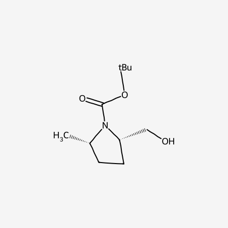 C[C@H]1CC[C@@H](CO)N1C(=O)OC(C)(C)C